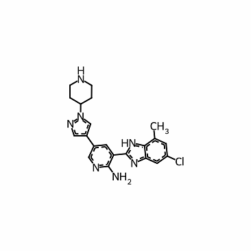 Cc1cc(Cl)cc2nc(-c3cc(-c4cnn(C5CCNCC5)c4)cnc3N)[nH]c12